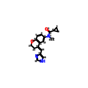 CCN(C(=O)C1CC1)c1ccc2c(c1)/C(=C/c1c[nH]cn1)CCO2